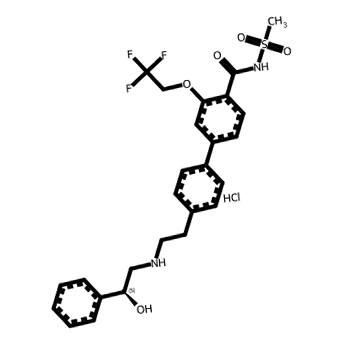 CS(=O)(=O)NC(=O)c1ccc(-c2ccc(CCNC[C@@H](O)c3ccccc3)cc2)cc1OCC(F)(F)F.Cl